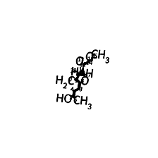 C=C1/C(=C\C=C(/C)O)O[C@H]2[C@@H]1[C@@H]2C(=O)COC